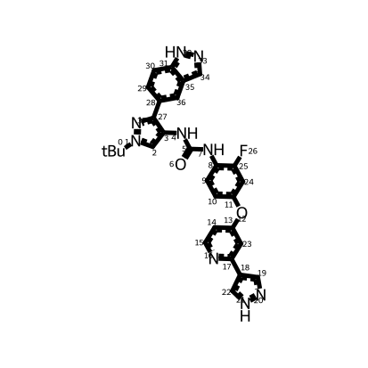 CC(C)(C)n1cc(NC(=O)Nc2ccc(Oc3ccnc(-c4cn[nH]c4)c3)cc2F)c(-c2ccc3[nH]ncc3c2)n1